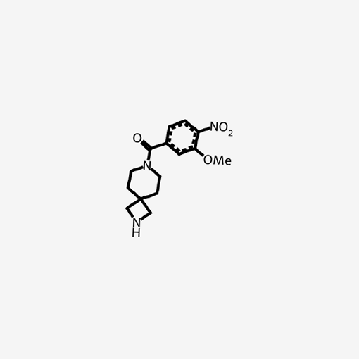 COc1cc(C(=O)N2CCC3(CC2)CNC3)ccc1[N+](=O)[O-]